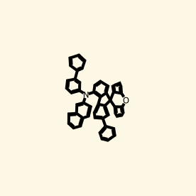 c1ccc(-c2cccc(N(c3ccc4ccccc4c3)c3cccc4c3-c3ccc(-c5ccccc5)cc3C43c4ccccc4Oc4ccccc43)c2)cc1